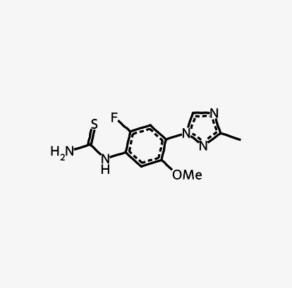 COc1cc(NC(N)=S)c(F)cc1-n1cnc(C)n1